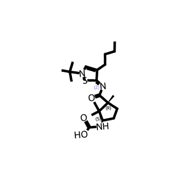 CCCCc1cn(C(C)(C)C)s/c1=N\C(=O)[C@]1(C)CC[C@H](NC(=O)O)C1(C)C